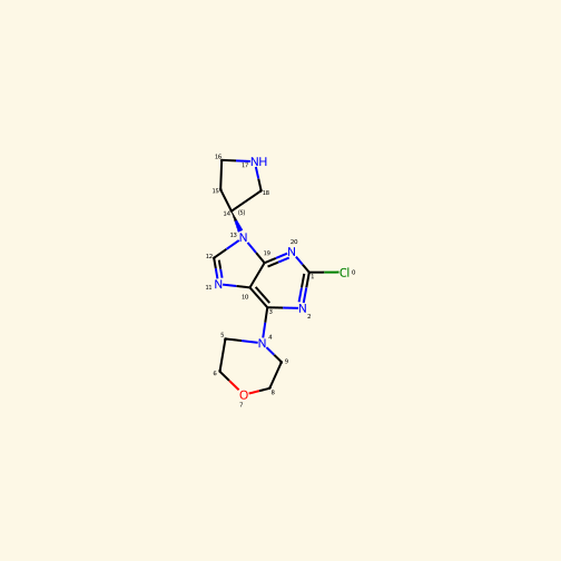 Clc1nc(N2CCOCC2)c2ncn([C@H]3CCNC3)c2n1